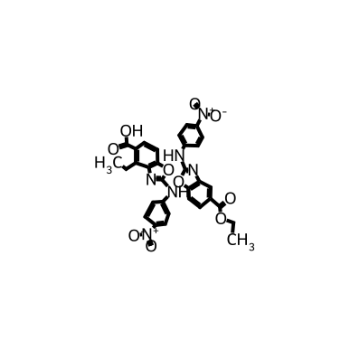 CCOC(=O)c1ccc2oc(Nc3ccc([N+](=O)[O-])cc3)nc2c1.CCc1c(C(=O)O)ccc2oc(Nc3ccc([N+](=O)[O-])cc3)nc12